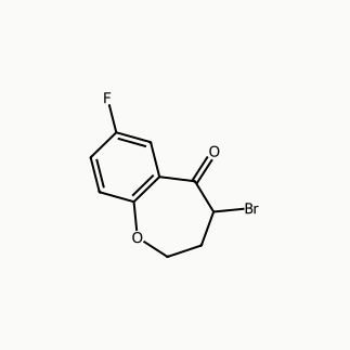 O=C1c2cc(F)ccc2OCCC1Br